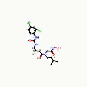 CC(C)CCN(CC(=O)NO)C(=O)C[C@H](C)CNC(=O)Nc1ccc(Cl)cc1Cl